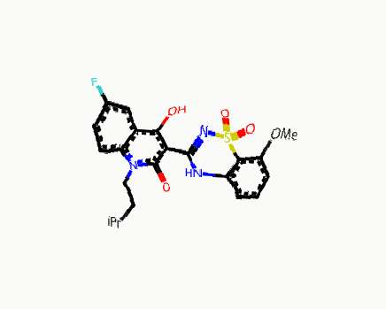 COc1cccc2c1S(=O)(=O)N=C(c1c(O)c3cc(F)ccc3n(CCC(C)C)c1=O)N2